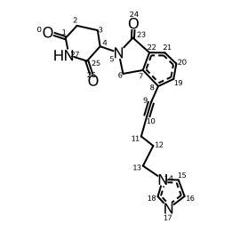 O=C1CCC(N2Cc3c(C#CCCCn4ccnc4)cccc3C2=O)C(=O)N1